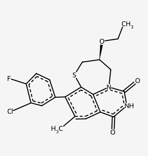 CCO[C@@H]1CSc2c(-c3ccc(F)c(Cl)c3)c(C)cc3c(=O)[nH]c(=O)n(c23)C1